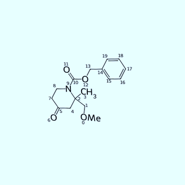 COCC1(C)CC(=O)CCN1C(=O)OCc1ccccc1